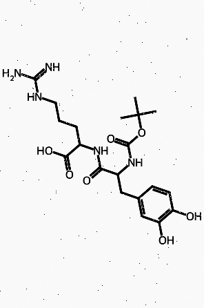 CC(C)(C)OC(=O)NC(Cc1ccc(O)c(O)c1)C(=O)NC(CCCNC(=N)N)C(=O)O